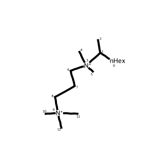 CCCCCCC(C)[N+](C)(C)CCC[N+](C)(C)C